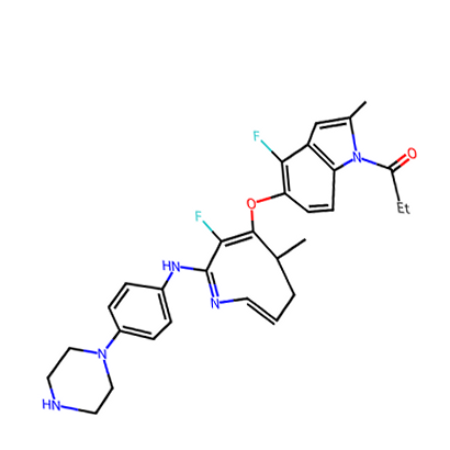 CCC(=O)n1c(C)cc2c(F)c(O/C3=C(F)/C(Nc4ccc(N5CCNCC5)cc4)=N\C=C\CC3C)ccc21